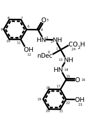 CCCCCCCCCCC(NNC(=O)c1ccccc1O)(NNC(=O)c1ccccc1O)C(=O)O